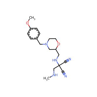 CNCC(C#N)(C#N)NCC1CN(Cc2ccc(OC)cc2)CCO1